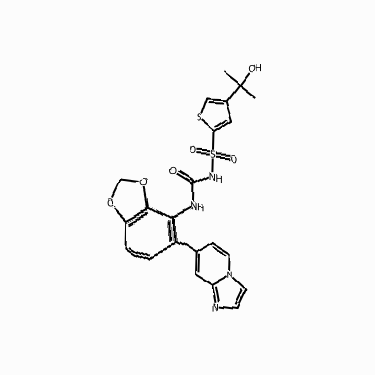 CC(C)(O)c1csc(S(=O)(=O)NC(=O)Nc2c(-c3ccn4ccnc4c3)ccc3c2OCO3)c1